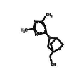 Cc1cc(N2CC3(CO)CC2CO3)nc(C)n1